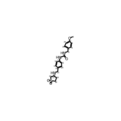 COc1ccc(CNC(=O)Nc2ccc(CN[C@@H]3CCS(=O)(=O)C3)cc2)cc1